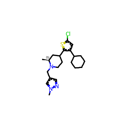 C[C@H]1CC(c2sc(Cl)cc2C2CCCCC2)CCN1Cc1cnn(C)c1